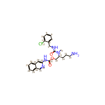 CN(C(=O)NCc1ccccc1Cl)[C@@H](CCCN)COC(=O)Nc1cc2ccccc2cn1